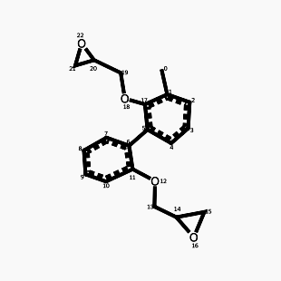 Cc1cccc(-c2ccccc2OCC2CO2)c1OCC1CO1